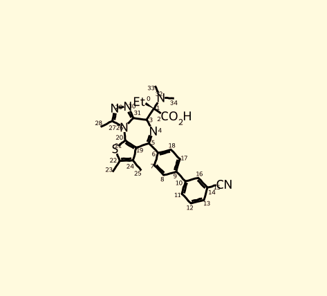 CC[C@@](C(=O)O)(C1N=C(c2ccc(-c3cccc(C#N)c3)cc2)c2c(sc(C)c2C)-n2c(C)nnc21)N(C)C